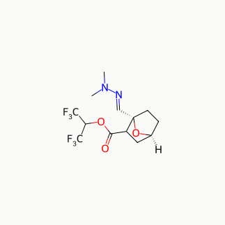 CN(C)/N=C/[C@@]12CC[C@@H](CC1C(=O)OC(C(F)(F)F)C(F)(F)F)O2